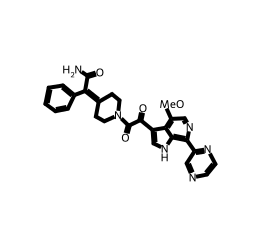 COc1cnc(-c2cnccn2)c2[nH]cc(C(=O)C(=O)N3CCC(=C(C(N)=O)c4ccccc4)CC3)c12